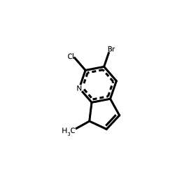 CC1C=Cc2cc(Br)c(Cl)nc21